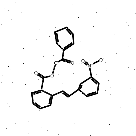 O=C(OOC(=O)c1ccccc1C=Cc1cccc([N+](=O)[O-])c1)c1ccccc1